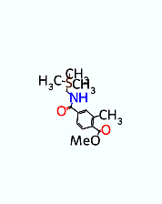 COC(=O)c1ccc(C(=O)NCS(C)(C)C)cc1C